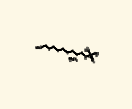 CCCCCCCCCCCCCCCCCCOP(=O)(O)O.[MgH2]